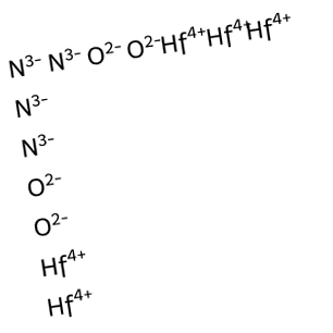 [Hf+4].[Hf+4].[Hf+4].[Hf+4].[Hf+4].[N-3].[N-3].[N-3].[N-3].[O-2].[O-2].[O-2].[O-2]